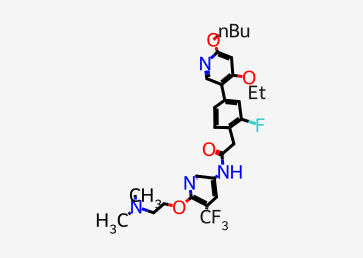 CCCCOc1cc(OCC)c(-c2ccc(CC(=O)Nc3cnc(OCCN(C)C)c(C(F)(F)F)c3)c(F)c2)cn1